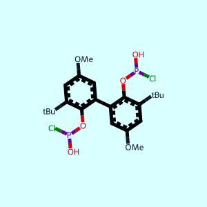 COc1cc(-c2cc(OC)cc(C(C)(C)C)c2OP(O)Cl)c(OP(O)Cl)c(C(C)(C)C)c1